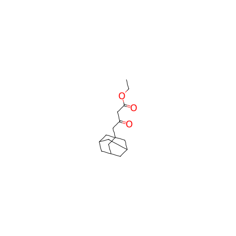 CCOC(=O)CC(=O)CC12CC3CC(CC(C3)C1)C2